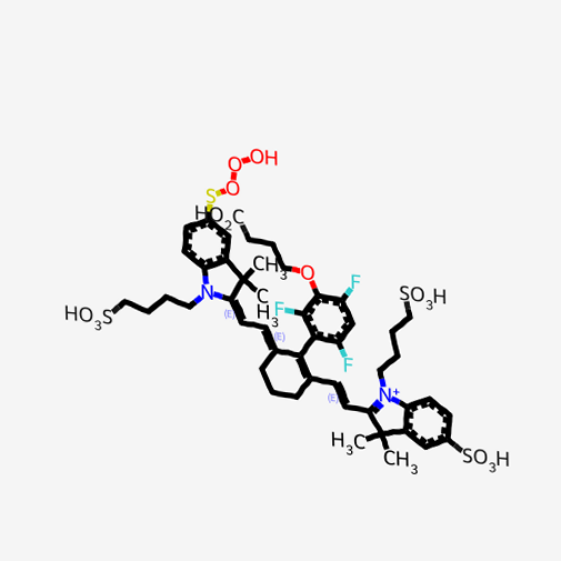 CC1(C)C(/C=C/C2=C(c3c(F)cc(F)c(OCCCC(=O)O)c3F)C(=C/C=C3/N(CCCCS(=O)(=O)O)c4ccc(SOOO)cc4C3(C)C)/CCC2)=[N+](CCCCS(=O)(=O)O)c2ccc(S(=O)(=O)O)cc21